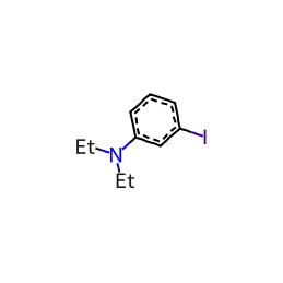 CCN(CC)c1cccc(I)c1